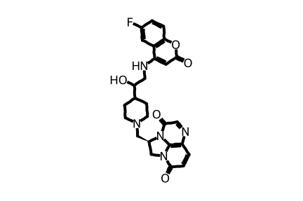 O=c1cc(NCC(O)C2CCN(C[C@@H]3Cn4c(=O)ccc5ncc(=O)n3c54)CC2)c2cc(F)ccc2o1